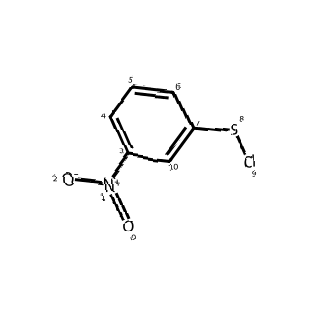 O=[N+]([O-])c1cccc(SCl)c1